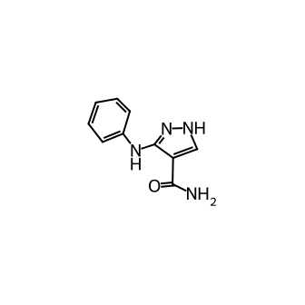 NC(=O)c1c[nH]nc1Nc1ccccc1